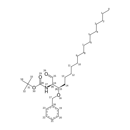 CCCCCCCCCCCCCCC[C@@H](OCc1ccccc1)[C@H](C=O)NC(=O)OC(C)(C)C